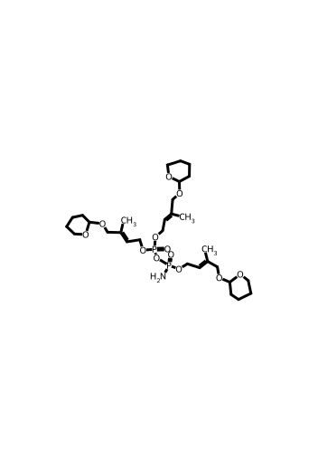 C/C(=C\COP(N)(=O)OP(=O)(OC/C=C(\C)COC1CCCCO1)OC/C=C(\C)COC1CCCCO1)COC1CCCCO1